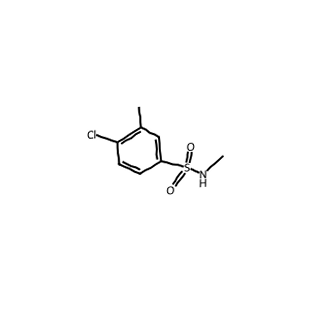 CNS(=O)(=O)c1ccc(Cl)c(C)c1